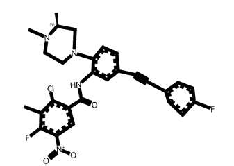 Cc1c(F)c([N+](=O)[O-])cc(C(=O)Nc2cc(C#Cc3ccc(F)cc3)ccc2N2CCN(C)[C@@H](C)C2)c1Cl